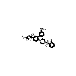 COc1cccc(-c2cc(C(OC(=O)C(F)(F)F)(C(F)(F)F)C(F)(F)F)ccc2N2CCN(S(=O)(=O)C3=CC=CCC3=S)CC2)c1